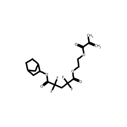 C=C(C)C(=O)OCCOC(=O)C(F)(F)CC(F)(F)C(=O)OC1CC2CCC1C2